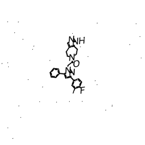 Cc1cc(-c2cc(-c3ccccc3)n(CC(=O)N3CCc4cn[nH]c4CC3)n2)ccc1F